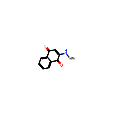 CCCCNC1=CC(=O)c2ccccc2C1=O